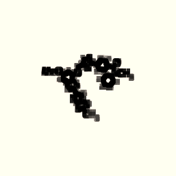 COc1cc(OCc2csc(-c3ccc(C(=O)N(C)C4CCCCC4)cc3)n2)c2sc(-c3cn4nc(C)sc4n3)nc2c1